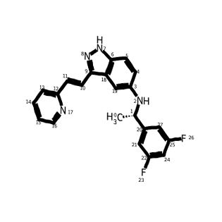 C[C@H](Nc1ccc2[nH]nc(/C=C/c3ccccn3)c2c1)c1cc(F)cc(F)c1